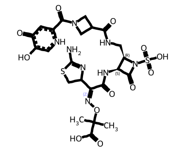 CC(C)(O/N=C(\C(=O)N[C@@H]1C(=O)N(S(=O)(=O)O)[C@@H]1CNC(=O)C1CN(C(=O)c2cc(=O)c(O)c[nH]2)C1)C1CSC(N)=N1)C(=O)O